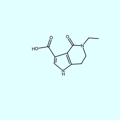 CCN1CCc2[nH]cc(C(=O)O)c2C1=O